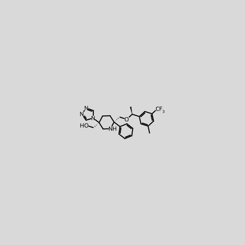 Cc1cc([C@H](C)OC[C@@]2(c3ccccc3)CC[C@](CO)(n3cnnc3)CN2)cc(C(F)(F)F)c1